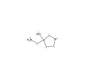 NCC1(O)CC[N]C1